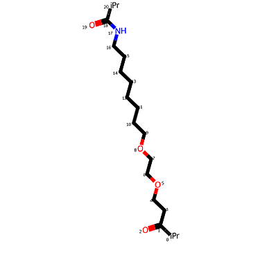 CC(C)C(=O)CCOCCOCCCCCCCCNC(=O)C(C)C